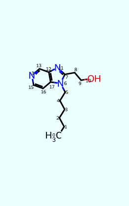 CCCCCCn1c(CCO)nc2cnccc21